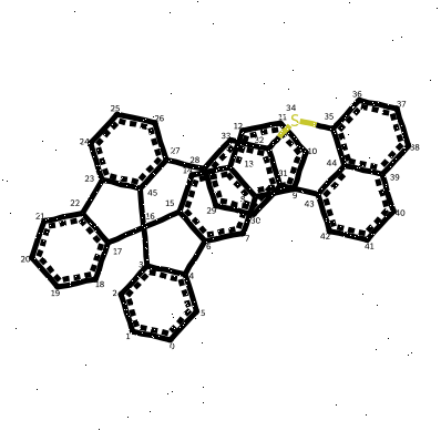 c1ccc2c(c1)-c1cc3ccccc3cc1C21c2ccccc2-c2cccc(-c3ccc4c(c3)Sc3cccc5cccc-4c35)c21